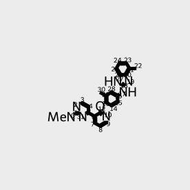 CNc1nccc(-c2cccnc2Oc2ccc(Nc3nc4c(C)cccc4[nH]3)cc2C)n1